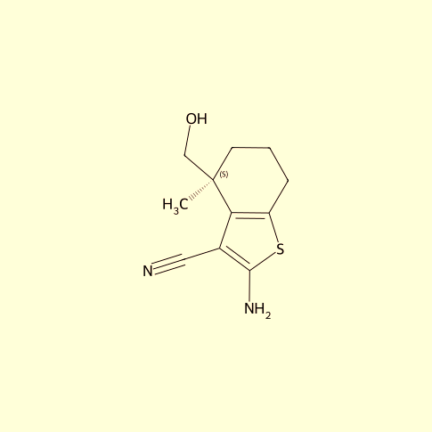 C[C@]1(CO)CCCc2sc(N)c(C#N)c21